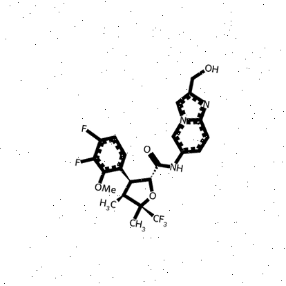 COc1c([C@H]2[C@H](C(=O)Nc3ccc4nc(CO)cn4c3)O[C@@](C)(C(F)(F)F)[C@H]2C)ccc(F)c1F